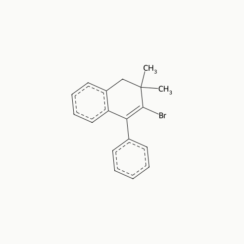 CC1(C)Cc2ccccc2C(c2ccccc2)=C1Br